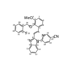 COc1cccc(/C=C/c2nc3ccccc3n2-c2ccc(C#N)cn2)c1OCc1ccccc1F